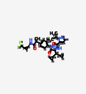 CC(C(=O)NC1CC1C(F)F)c1ccc(NC(=O)C(NC(=O)c2ccnn2C(C)C)C(C2CC2)C2CC2)c(F)c1